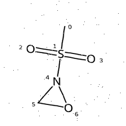 CS(=O)(=O)N1CO1